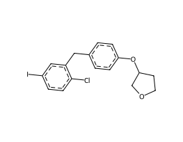 Clc1ccc(I)cc1Cc1ccc(OC2CCOC2)cc1